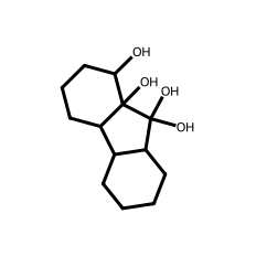 OC1CCCC2C3CCCCC3C(O)(O)C12O